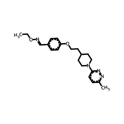 CCON=Cc1ccc(OCCC2CCN(c3ccc(C)nn3)CC2)cc1